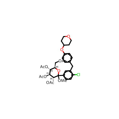 COC1(c2ccc(Cl)c(Cc3ccc(OC4CCOCC4)cc3)c2)O[C@H](COC(C)=O)[C@@H](OC(C)=O)[C@H](OC(C)=O)[C@H]1OC(C)=O